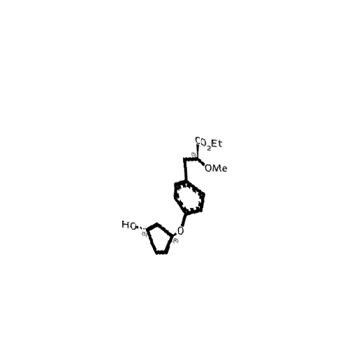 CCOC(=O)[C@H](Cc1ccc(O[C@@H]2CC[C@H](O)C2)cc1)OC